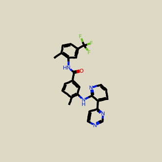 Cc1ccc(C(F)(F)F)cc1NC(=O)c1ccc(C)c(Nc2ncccc2-c2ccncn2)c1